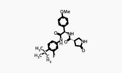 COc1ccc([C@@H](NC(=O)[C@@H]2CNC(=O)C2)C(=O)Nc2ccc(S(C)(C)C)c(F)c2)cc1